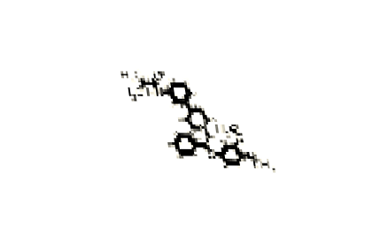 COc1ccc(O[C@H](CN2CCC(c3cccc(NC(=O)C(C)C)c3)CC2)c2ccccc2)cc1OC